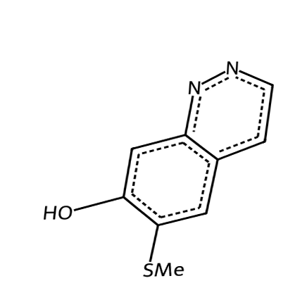 CSc1cc2ccnnc2cc1O